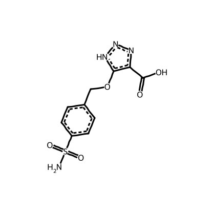 NS(=O)(=O)c1ccc(COc2[nH]nnc2C(=O)O)cc1